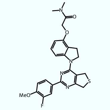 COc1ccc(-c2nc3c(c(N4CCc5c(OCC(=O)N(C)C)cccc54)n2)CSC3)cc1F